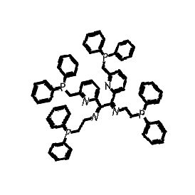 c1ccc(P(CC/N=C(/C(=N/CCP(c2ccccc2)c2ccccc2)c2cccc(CP(c3ccccc3)c3ccccc3)n2)c2cccc(CP(c3ccccc3)c3ccccc3)n2)c2ccccc2)cc1